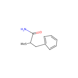 CSC(Cc1ccccc1)C(N)=O